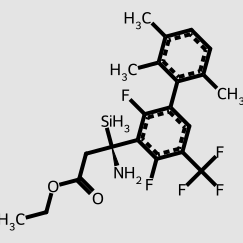 CCOC(=O)C[C@](N)([SiH3])c1c(F)c(-c2c(C)ccc(C)c2C)cc(C(F)(F)F)c1F